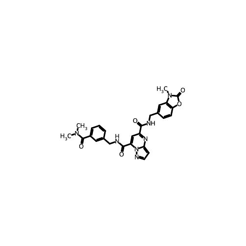 CN(C)C(=O)c1cccc(CNC(=O)c2cc(C(=O)NCc3ccc4oc(=O)n(C)c4c3)nc3ccnn23)c1